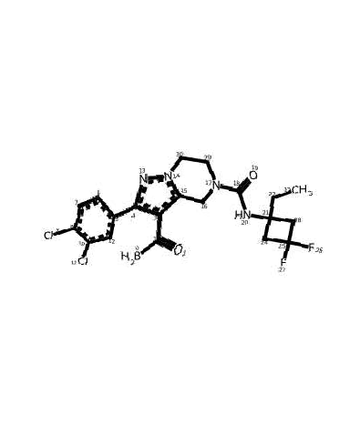 BC(=O)c1c(-c2ccc(Cl)c(Cl)c2)nn2c1CN(C(=O)NC1(CC)CC(F)(F)C1)CC2